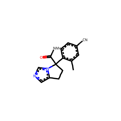 CNC(=O)C1(c2ccc(C#N)cc2C)CCc2cncn21